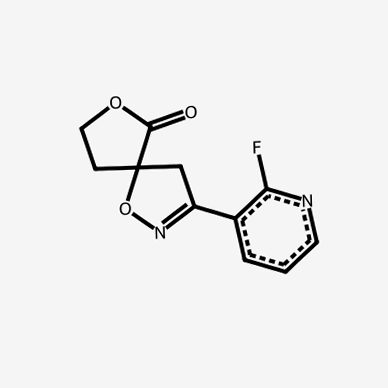 O=C1OCCC12CC(c1cccnc1F)=NO2